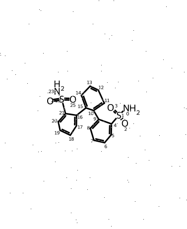 NS(=O)(=O)c1ccccc1-c1ccccc1-c1ccccc1S(N)(=O)=O